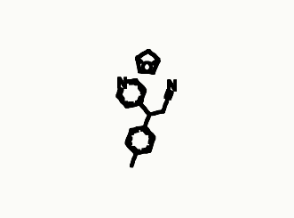 C1CC2CC1O2.Cc1ccc(C(CC#N)c2ccncc2)cc1